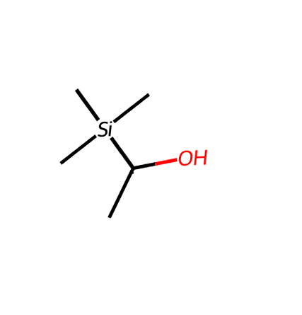 C[C](O)[Si](C)(C)C